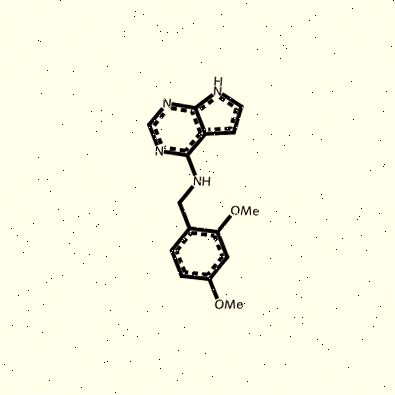 COc1ccc(CNc2ncnc3[nH]ccc23)c(OC)c1